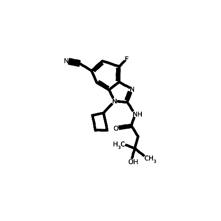 CC(C)(O)CC(=O)Nc1nc2c(F)cc(C#N)cc2n1C1CCC1